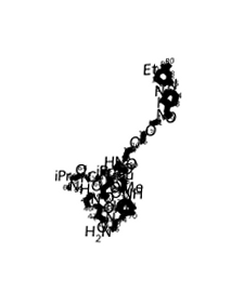 CCC1Cc2nc3cc(C(=O)NCCOCCOCCC(=O)NC(C(=O)NCC(=O)Nc4ccc(C[C@@H](CN)NC(=O)[C@H](C)[C@@H](OC)[C@@H]5CCCN5C(=O)C[C@@H](OC)[C@H]([C@@H](C)CC)N(C)C(=O)CNC(=O)C(C(C)C)N(C)C)cc4)C(C)C)ccc3nc2CC1(C)C